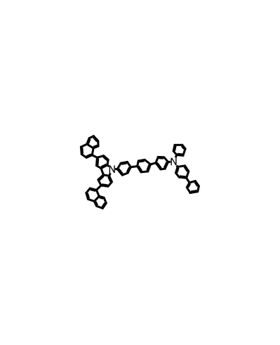 c1ccc(-c2ccc(N(c3ccccc3)c3ccc(-c4ccc(-c5ccc(-n6c7ccc(-c8cccc9ccccc89)cc7c7cc(-c8cccc9ccccc89)ccc76)cc5)cc4)cc3)cc2)cc1